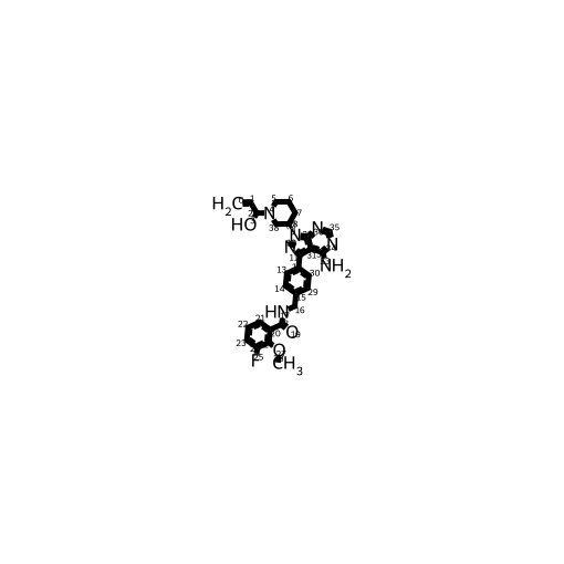 C=CC(O)N1CCC[C@@H](n2nc(-c3ccc(CNC(=O)c4cccc(F)c4OC)cc3)c3c(N)ncnc32)C1